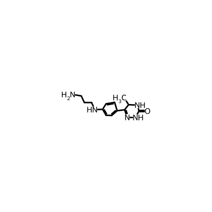 CC1NC(=O)NN=C1c1ccc(NCCCN)cc1